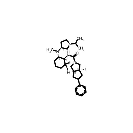 CC(C)N1CC[C@H](N(C)[C@H]2CCCC(F)(F)[C@@H]2NC(=O)N2C[C@H]3CC(c4ccccc4)C[C@H]3C2)C1